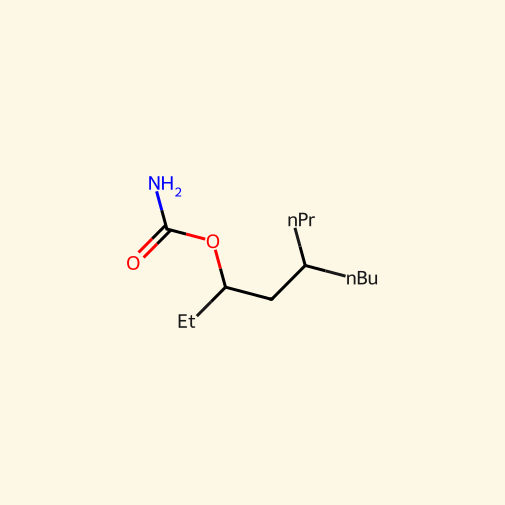 CCCCC(CCC)CC(CC)OC(N)=O